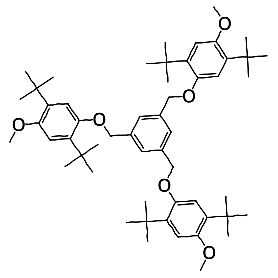 COc1cc(C(C)(C)C)c(OCc2cc(COc3cc(C(C)(C)C)c(OC)cc3C(C)(C)C)cc(COc3cc(C(C)(C)C)c(OC)cc3C(C)(C)C)c2)cc1C(C)(C)C